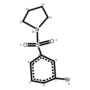 O=S(=O)(c1cccc(Br)c1)N1CCCC1